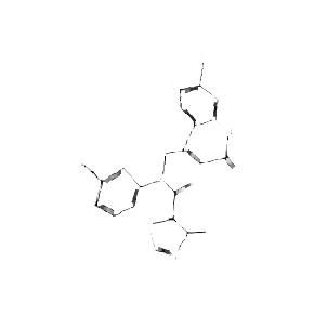 CC1N=CSC1C(=O)N(Cc1cc(=O)[nH]c2cc(F)c(F)cc12)c1cccc(Cl)c1